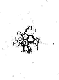 CCN1C(=O)C(C)(C)c2c1cc1nc[nH]c1c2-c1n[nH]cc1N